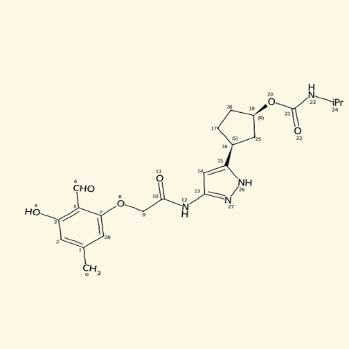 Cc1cc(O)c(C=O)c(OCC(=O)Nc2cc([C@H]3CC[C@@H](OC(=O)NC(C)C)C3)[nH]n2)c1